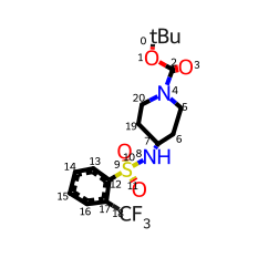 CC(C)(C)OC(=O)N1CCC(NS(=O)(=O)c2ccccc2C(F)(F)F)CC1